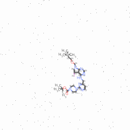 CC(C)(C)OC(=O)N1CCN(c2nccc(CNc3ncnc4c3c(I)cn4COCC[Si](C)(C)C)n2)CC1